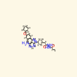 C=CC(=O)NNC(=O)C=C1CCC(n2nc(-c3ccc(Oc4ccccc4)cc3C)c3c(N)ncnc32)CC1